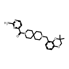 CC1(C)COc2cccc(CN3CCC4(CC3)CCN(C(=O)c3ccnc(N)n3)CC4)c2O1